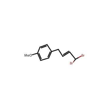 COc1ccc(CC=CC(Br)Br)cc1